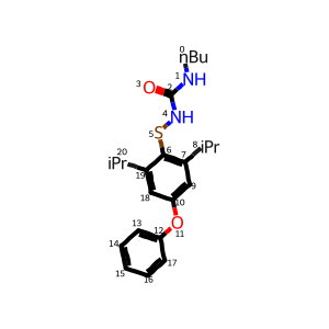 CCCCNC(=O)NSc1c(C(C)C)cc(Oc2ccccc2)cc1C(C)C